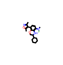 Cc1noc(C)c1-c1ccc(N(C)F)c2c1OCC(C1CCCCC1)N2